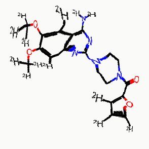 [2H]c1oc(C(=O)N2CCN(c3nc(N([2H])[2H])c4c([2H])c(OC([2H])([2H])[2H])c(OC([2H])([2H])[2H])c([2H])c4n3)CC2)c([2H])c1[2H]